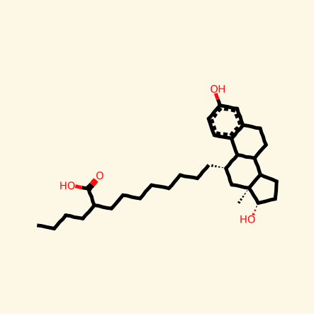 CCCCC(CCCCCCCC[C@H]1C[C@@]2(C)C(CC[C@@H]2O)C2CCc3cc(O)ccc3C21)C(=O)O